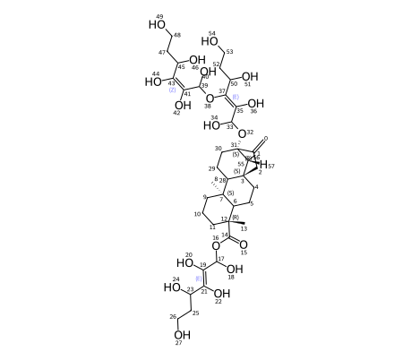 C=C1C[C@@]23CCC4[C@@](C)(CCC[C@@]4(C)C(=O)OC(O)/C(O)=C(\O)C(O)CCO)C2CC[C@]1(OC(O)/C(O)=C(\OC(O)/C(O)=C(/O)C(O)CCO)C(O)CCO)[C@@H]3C